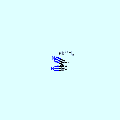 [C-]#N.[C-]#N.[PbH2+2]